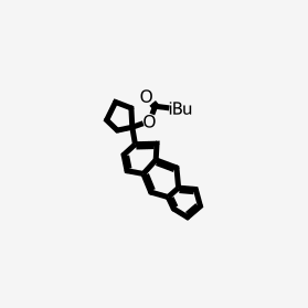 CCC(C)C(=O)OC1(c2ccc3cc4ccccc4cc3c2)CCCC1